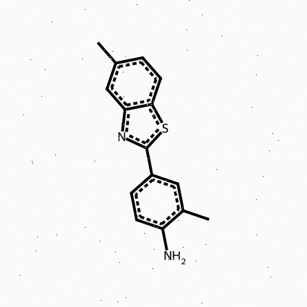 Cc1ccc2sc(-c3ccc(N)c(C)c3)nc2c1